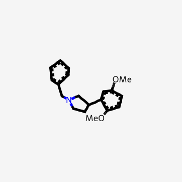 COc1ccc(OC)c(C2CCN(Cc3ccccc3)C2)c1